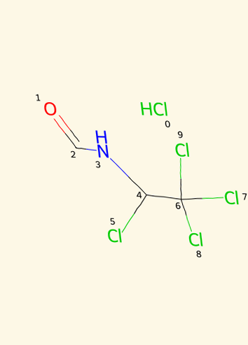 Cl.O=CNC(Cl)C(Cl)(Cl)Cl